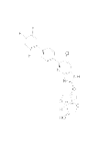 O[C@@H]1CO[C@H]2[C@@H]1OC[C@H]2Oc1nc2nc(-c3ccc(-c4cc(F)c(F)cc4F)cc3)c(Cl)cc2[nH]1